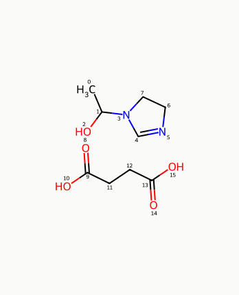 CC(O)N1C=NCC1.O=C(O)CCC(=O)O